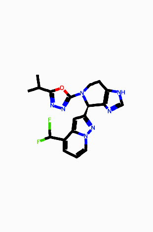 CC(C)c1nnc(N2CCc3[nH]cnc3[C@H]2c2cc3c(C(F)F)cccn3n2)o1